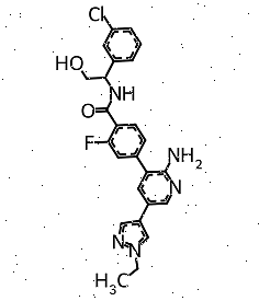 CCn1cc(-c2cnc(N)c(-c3ccc(C(=O)NC(CO)c4cccc(Cl)c4)c(F)c3)c2)cn1